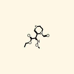 CCOC(=O)C(=NOC)C1=CSCCN1C=O